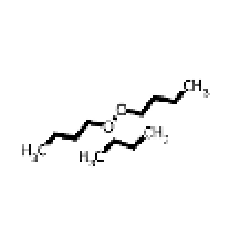 CCCC.CCCCOOCCCC